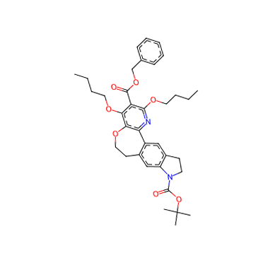 CCCCOc1nc2c(c(OCCCC)c1C(=O)OCc1ccccc1)OCCc1cc3c(cc1-2)CCN3C(=O)OC(C)(C)C